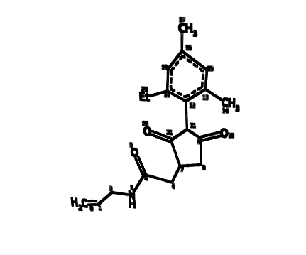 C=CCNC(=O)CC1CC(=O)C(c2c(C)cc(C)cc2CC)C1=O